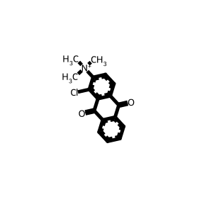 C[N+](C)(C)c1ccc2c(c1Cl)C(=O)c1ccccc1C2=O